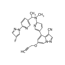 C#CCOc1cc(-c2ccc(N(C)C(C)c3ccc(-n4cc(F)cn4)nc3)nc2)c2c(C#N)cnn2c1